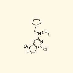 CN(CC1CCCC1)c1cc2c(c(Cl)n1)CNC2=O